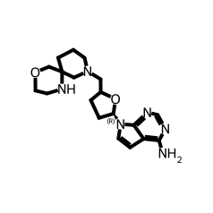 Nc1ncnc2c1ccn2[C@H]1CCC(CN2CCCC3(COCCN3)C2)O1